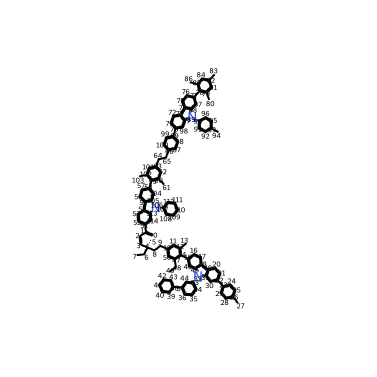 C=C(/C=C\[C@](C)(CC)CCc1cc(C)c(-c2ccc3c4ccc(-c5ccc(C)cc5)cc4n(-c4cccc(-c5ccccc5)c4)c3c2)c(CC)c1)c1ccc2c3ccc(-c4c(C)cc(CCc5ccc(-c6ccc7c8ccc(-c9c(C)cc(C)cc9C)cc8n(-c8ccc(C)cc8)c7c6)cc5)cc4C)cc3n(-c3ccccc3)c2c1